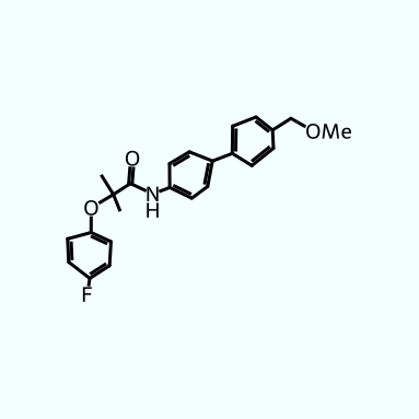 COCc1ccc(-c2ccc(NC(=O)C(C)(C)Oc3ccc(F)cc3)cc2)cc1